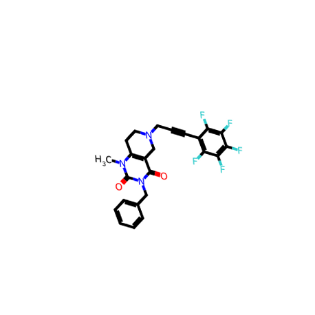 Cn1c2c(c(=O)n(Cc3ccccc3)c1=O)CN(CC#Cc1c(F)c(F)c(F)c(F)c1F)CC2